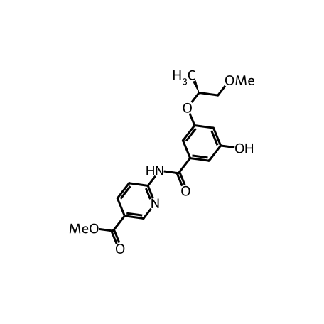 COC[C@H](C)Oc1cc(O)cc(C(=O)Nc2ccc(C(=O)OC)cn2)c1